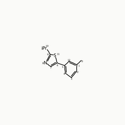 Cc1cccc(-c2cnc(C(C)C)s2)c1